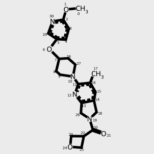 COc1ccc(OC2CCN(c3nc4c(cc3C)CN(C(=O)C3COC3)C4)CC2)cn1